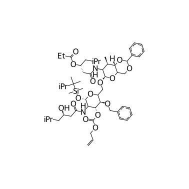 C=CCOC(=O)O[C@@H]1C(NC(=O)C[C@H](O)CC(C)C)[C@H](O[Si](C)(C)C(C)(C)C(C)C)OC(CO[C@@H]2OC3COC(c4ccccc4)O[C@H]3[C@H](C)C2NC(=O)C[C@@H](CC(C)C)OC(=O)CC)[C@H]1OCc1ccccc1